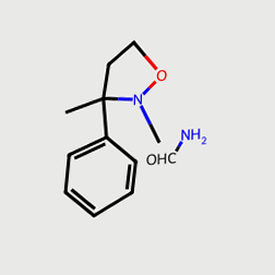 CN1OCCC1(C)c1ccccc1.NC=O